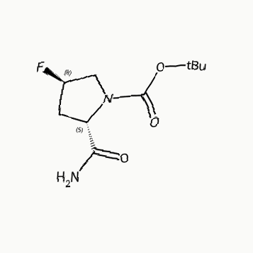 CC(C)(C)OC(=O)N1C[C@H](F)C[C@H]1C(N)=O